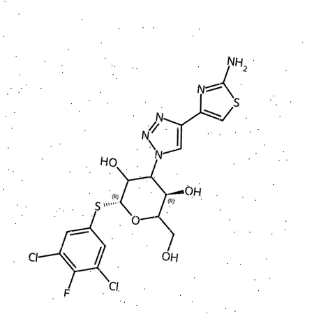 Nc1nc(-c2cn(C3C(O)[C@@H](Sc4cc(Cl)c(F)c(Cl)c4)OC(CO)[C@@H]3O)nn2)cs1